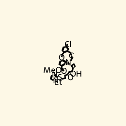 CC[C@H](CCC(=O)C[C@@H](O)[C@@H]1CC[C@H]1CN1CCCCc2cc(Cl)ccc2COc2ccc(C(=O)OC)cc21)Sc1ncccn1